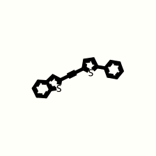 C(#Cc1cc2ccccc2s1)c1ccc(-c2ccccc2)s1